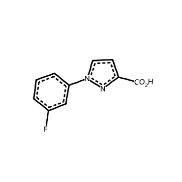 O=C(O)c1ccn(-c2cccc(F)c2)n1